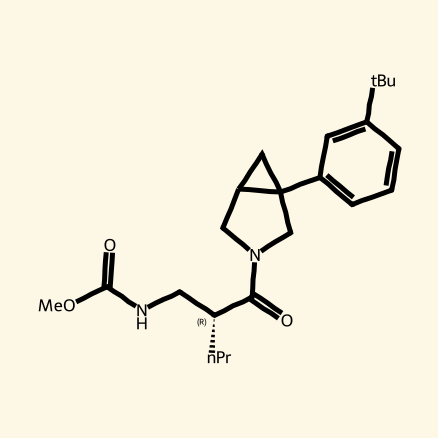 CCC[C@H](CNC(=O)OC)C(=O)N1CC2CC2(c2cccc(C(C)(C)C)c2)C1